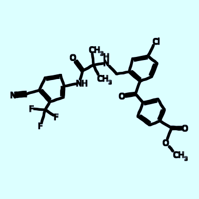 COC(=O)c1ccc(C(=O)c2ccc(Cl)cc2CNC(C)(C)C(=O)Nc2ccc(C#N)c(C(F)(F)F)c2)cc1